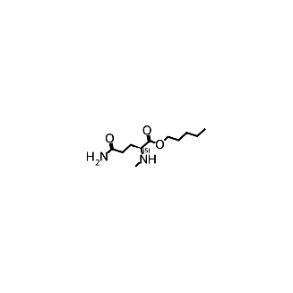 CCCCCOC(=O)[C@H](CCC(N)=O)NC